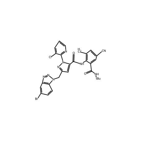 Cc1cc(C#N)cc(C(=O)NC(C)(C)C)c1NC(=O)c1cc(Cn2nnc3cc(Br)ccc32)nn1-c1ncccc1Cl